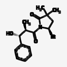 CC[C@@H]1CC(C)(C)C(=O)N1C(=O)[C@H](C)[C@@H](O)c1ccccc1